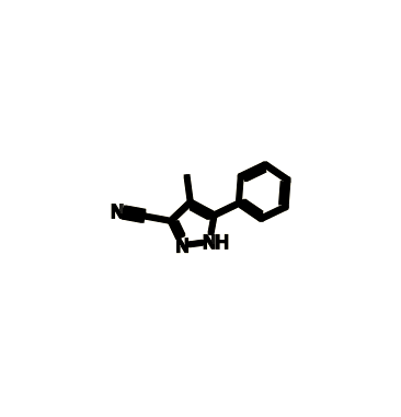 Cc1c(C#N)n[nH]c1-c1ccccc1